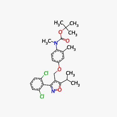 Cc1cc(OCc2c(-c3c(Cl)cccc3Cl)noc2C(C)C)ccc1N(C)C(=O)OC(C)(C)C